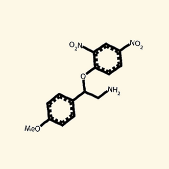 COc1ccc(C(CN)Oc2ccc([N+](=O)[O-])cc2[N+](=O)[O-])cc1